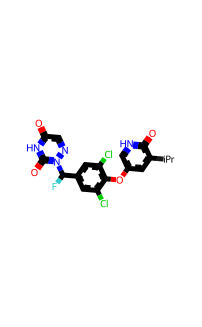 CC(C)c1cc(Oc2c(Cl)cc(C(F)n3ncc(=O)[nH]c3=O)cc2Cl)c[nH]c1=O